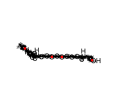 CN(C)c1ccc(/N=N/c2ccc(S(=O)(=O)C(=O)NCCOCCOCCOCCOCCOCCOCCOCCOCCC(=O)NCCc3ccc(O)cc3)cc2)cc1